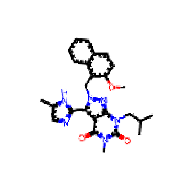 COc1ccc2ccccc2c1Cn1nc2c(c1-c1ncc(C)[nH]1)c(=O)n(C)c(=O)n2CC(C)C